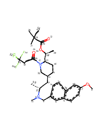 COc1ccc2cc(CN(C)[C@H](C)CC3CCC([C@H](C)OC(=O)C(C)(C)C)N(C(=O)CC(F)(F)F)C3)ccc2c1